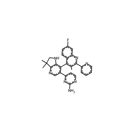 Cc1c(-c2ccccn2)nc2cc(F)ccc2c1-c1c(-c2ccnc(N)n2)cnc2c1NCC2(C)C